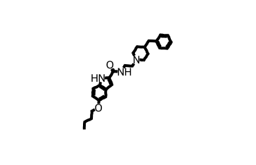 CCCCOc1ccc2[nH]c(C(=O)NCCN3CCC(Cc4ccccc4)CC3)cc2c1